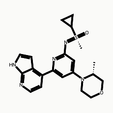 C[C@@H]1COCCN1c1cc(N=[S@](C)(=O)C2CC2)nc(-c2ccnc3[nH]ccc23)c1